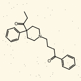 CCC(=O)C1(c2ccccc2)CCN(CCCC(=O)c2ccccc2)CC1